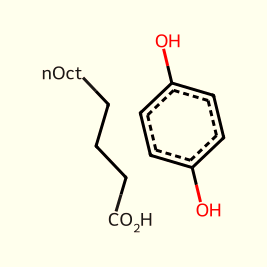 CCCCCCCCCCCC(=O)O.Oc1ccc(O)cc1